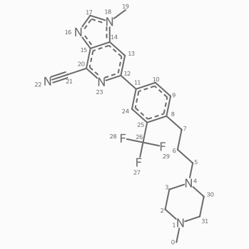 CN1CCN(CCCc2ccc(-c3cc4c(ncn4C)c(C#N)n3)cc2C(F)(F)F)CC1